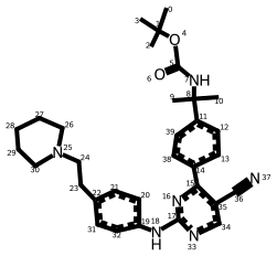 CC(C)(C)OC(=O)NC(C)(C)c1ccc(-c2nc(Nc3ccc(CCN4CCCCC4)cc3)ncc2C#N)cc1